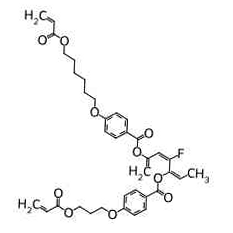 C=CC(=O)OCCCCCCOc1ccc(C(=O)OC(=C)/C=C(F)\C(=C/C)OC(=O)c2ccc(OCCCOC(=O)C=C)cc2)cc1